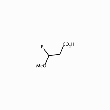 COC(F)CC(=O)O